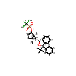 CC(C)(C)[Si](OC[C@@H]1[C@H]2CC=C(OS(=O)(=O)C(F)(F)F)[C@H]21)(c1ccccc1)c1ccccc1